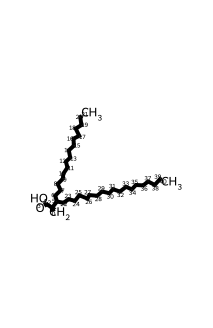 C=C(C(=O)O)C(CCCCCCCCCCCCCCCC)CCCCCCCCCCCCCCCCCCC